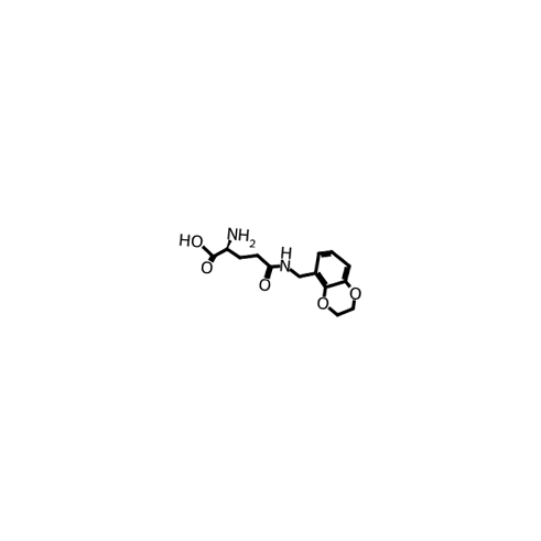 N[C@@H](CCC(=O)NCc1cccc2c1OCCO2)C(=O)O